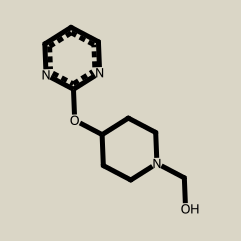 OCN1CCC(Oc2ncccn2)CC1